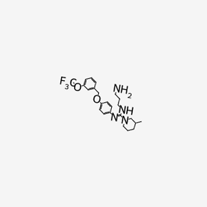 CC1CCCN(/C(=N/c2ccc(OCc3cccc(OC(F)(F)F)c3)cc2)NCCCN)C1